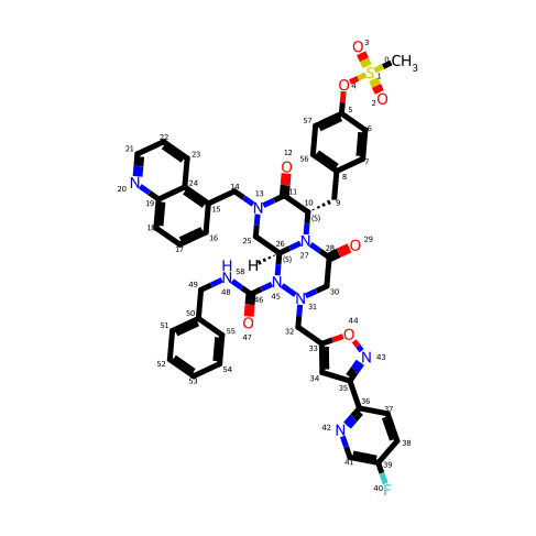 CS(=O)(=O)Oc1ccc(C[C@H]2C(=O)N(Cc3cccc4ncccc34)C[C@H]3N2C(=O)CN(Cc2cc(-c4ccc(F)cn4)no2)N3C(=O)NCc2ccccc2)cc1